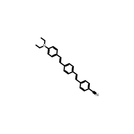 CCN(CC)c1ccc(/C=C/c2ccc(/C=C/c3ccc(C#N)cc3)cc2)cc1